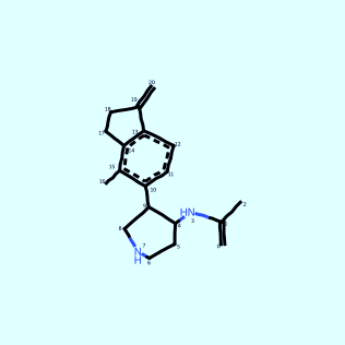 C=C(C)NC1CCNCC1c1ccc2c(c1C)CCC2=C